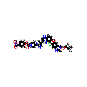 Cc1nc2ccc(Oc3ccc4ncc(-c5cnn(C6CCN(C(=O)Oc7ccc([N+](=O)[O-])cc7)CC6)c5)nc4c3Cl)cc2n1COCC[Si](C)(C)C